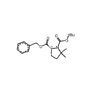 CC(C)(C)OC(=O)N1[C@H](C(=O)OCc2ccccc2)CCC1(C)C